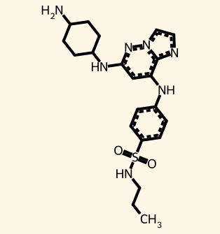 CCCNS(=O)(=O)c1ccc(Nc2cc(NC3CCC(N)CC3)nn3ccnc23)cc1